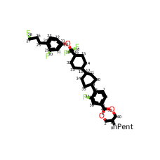 CCCCCC1COC(c2ccc(C3CCC(C4CCC(C(F)(F)Oc5ccc(CCCF)c(F)c5)CC4)CC3)c(F)c2)OC1